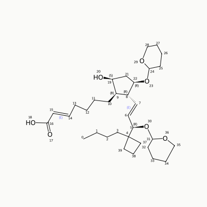 CCCCC1([C@@H](/C=C/[C@@H]2[C@@H](CCCC/C=C/C(=O)O)[C@@H](O)C[C@H]2OC2CCCCO2)OC2CCCCO2)CCC1